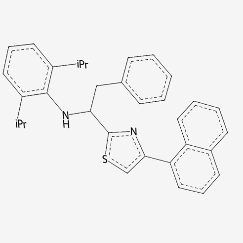 CC(C)c1cccc(C(C)C)c1NC(Cc1ccccc1)c1nc(-c2cccc3ccccc23)cs1